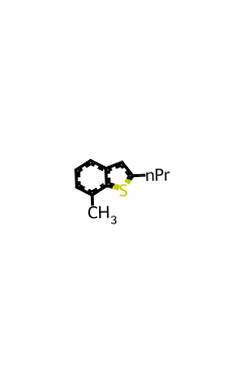 CCCc1cc2cccc(C)c2s1